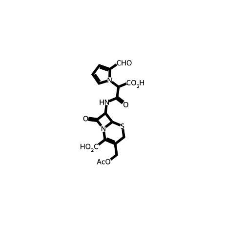 CC(=O)OCC1=C(C(=O)O)N2C(=O)C(NC(=O)C(C(=O)O)n3cccc3C=O)C2SC1